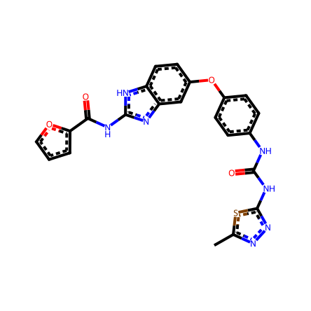 Cc1nnc(NC(=O)Nc2ccc(Oc3ccc4[nH]c(NC(=O)c5ccco5)nc4c3)cc2)s1